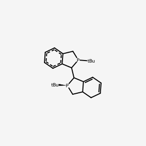 CC(C)(C)P1Cc2ccccc2C1C1C2=CC=CCC2C[P@@]1C(C)(C)C